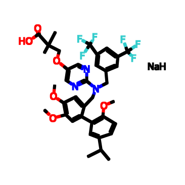 COc1cc(CN(Cc2cc(C(F)(F)F)cc(C(F)(F)F)c2)c2ncc(OCC(C)(C)C(=O)O)cn2)c(-c2cc(C(C)C)ccc2OC)cc1OC.[NaH]